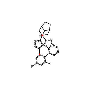 Cc1cc(N2CC3CCC(C2)C3Nc2nc3c(-c4ccc(F)cc4C)cccn3n2)sn1